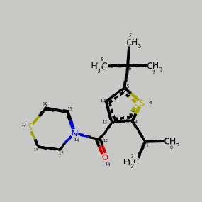 CC(C)c1sc(C(C)(C)C)cc1C(=O)N1CCSCC1